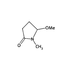 COC1CCC(=O)N1C